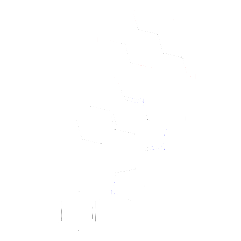 Cn1nc(C2CCN(c3ccc(F)cc3)C2)c2c3c(c(OC4OC(C(=O)O)C(O)C(O)C4O)nc21)CCCC3